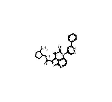 NC1CCCC1NC(=O)c1sc2nccc3c2c1NC(=O)N3c1cnnc(-c2ccccc2)c1